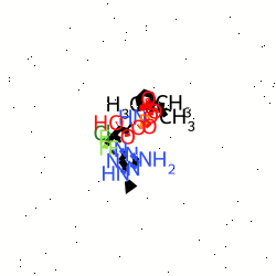 CC(C)OC(=O)C(C)N[P@](=O)(OC[C@H]1O[C@@H](n2cnc3c(NC4CC4)nc(N)nc32)[C@@](Cl)(C(F)(F)F)[C@@H]1O)Oc1ccccc1